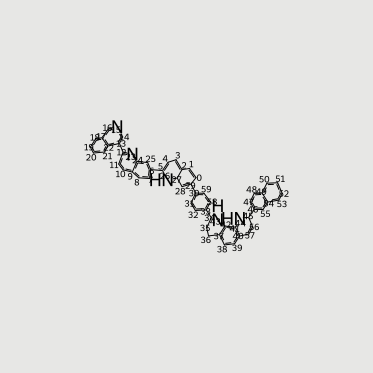 C1=CC2=CC=C(c3ccc4ccc(-c5cncc6ccccc56)nc4c3)NC2C=C1c1ccc(C2CCc3ccc4c(c3N2)NC(c2ccc3ccccc3c2)C=C4)cc1